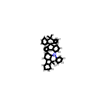 CC1(C)c2ccccc2C2(c3ccccc3-c3c(N(c4ccccc4)c4cccc5c4C(C)(C)c4ccccc4-5)cccc32)c2ccccc21